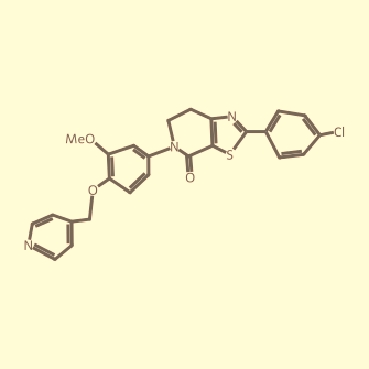 COc1cc(N2CCc3nc(-c4ccc(Cl)cc4)sc3C2=O)ccc1OCc1ccncc1